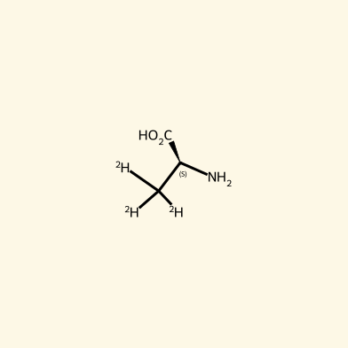 [2H]C([2H])([2H])[C@H](N)C(=O)O